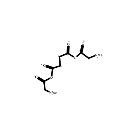 CNCC(=O)OC(=O)CCC(=O)OC(=O)CNC